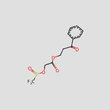 O=C(COS(=O)C(F)(F)F)OCCC(=O)c1ccccc1